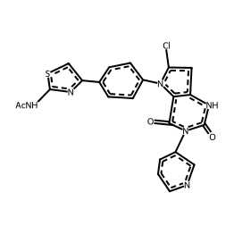 CC(=O)Nc1nc(-c2ccc(-n3c(Cl)cc4[nH]c(=O)n(-c5cccnc5)c(=O)c43)cc2)cs1